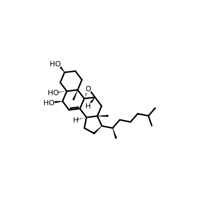 CC(C)CCC[C@@H](C)[C@H]1CC[C@H]2C3=C[C@@H](O)[C@@]4(O)C[C@@H](O)CC[C@]4(C)[C@]34O[C@@H]4C[C@]12C